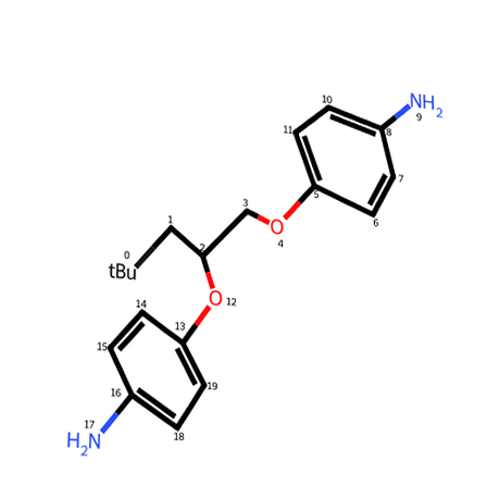 CC(C)(C)CC(COc1ccc(N)cc1)Oc1ccc(N)cc1